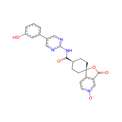 O=C1O[C@]2(CC[C@H](C(=O)Nc3ncc(-c4cccc(O)c4)cn3)CC2)c2cc[n+]([O-])cc21